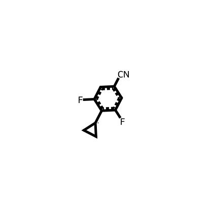 N#Cc1cc(F)c([C]2CC2)c(F)c1